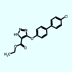 CCOC(=O)c1[nH]nnc1Oc1ccc(-c2ccc(Cl)cc2)cc1